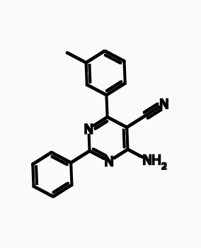 Cc1cccc(-c2nc(-c3ccccc3)nc(N)c2C#N)c1